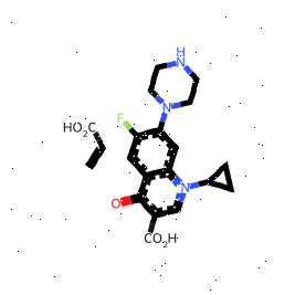 C=CC(=O)O.O=C(O)c1cn(C2CC2)c2cc(N3CCNCC3)c(F)cc2c1=O